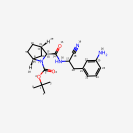 CC(C)(C)OC(=O)N1[C@@H]2CC[C@@H](C2)[C@H]1C(=O)NC(C#N)Cc1cccc(N)c1